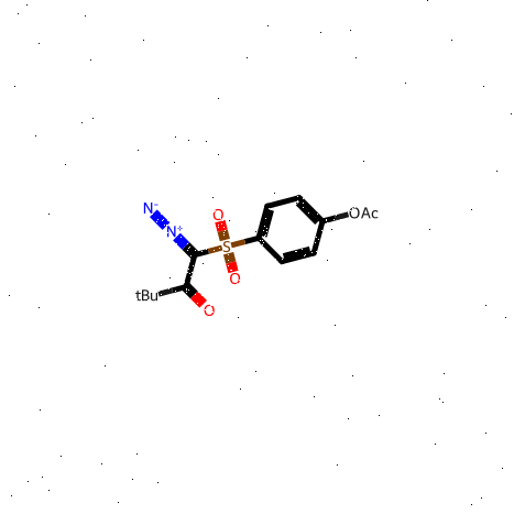 CC(=O)Oc1ccc(S(=O)(=O)C(=[N+]=[N-])C(=O)C(C)(C)C)cc1